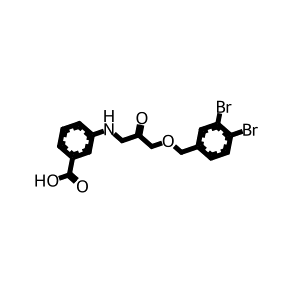 O=C(CNc1cccc(C(=O)O)c1)COCc1ccc(Br)c(Br)c1